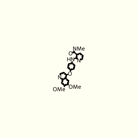 CNC(=O)c1cccnc1Nc1ccc(Oc2ccnc3cc(OC)c(OC)cc23)cc1